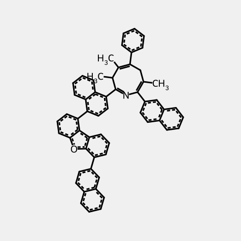 C/C1=C(c2ccc3ccccc3c2)/N=C(/c2ccc(-c3cccc4oc5c(-c6ccc7ccccc7c6)cccc5c34)c3ccccc23)C(C)/C(C)=C(/c2ccccc2)C1